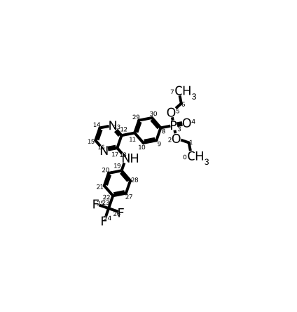 CCOP(=O)(OCC)c1ccc(-c2nccnc2Nc2ccc(C(F)(F)F)cc2)cc1